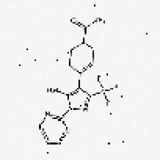 CC(=O)C1CC=C(c2c(C(F)(F)F)nn(-c3ncccn3)c2N)CC1